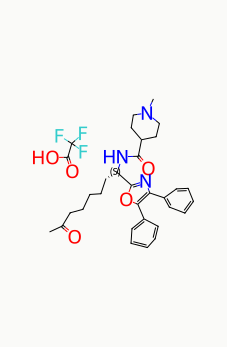 CC(=O)CCCCC[C@H](NC(=O)C1CCN(C)CC1)c1nc(-c2ccccc2)c(-c2ccccc2)o1.O=C(O)C(F)(F)F